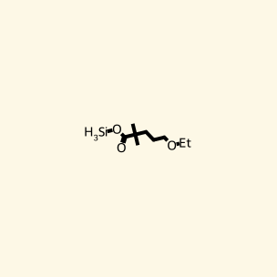 CCOCCCC(C)(C)C(=O)O[SiH3]